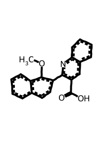 COc1c(-c2nc3ccccc3cc2C(=O)O)ccc2ccccc12